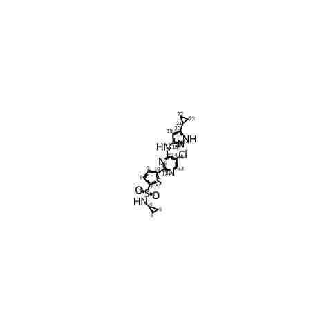 O=S(=O)(NC1CC1)c1ccc(-c2ncc(Cl)c(Nc3cc(C4CC4)[nH]n3)n2)s1